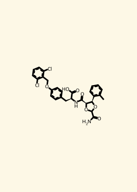 Cc1ccccc1[C@H]1OC(C(N)=O)O[C@H]1C(=O)N[C@@H](Cc1ccc(OCc2c(Cl)cccc2Cl)cc1)C(=O)O